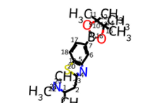 CC(Cc1nc2cc(B3OC(C)(C)C(C)(C)O3)ccc2s1)N(C)C